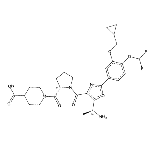 C[C@H](N)c1oc(-c2ccc(OC(F)F)c(OCC3CC3)c2)nc1C(=O)N1CCC[C@H]1C(=O)N1CCC(C(=O)O)CC1